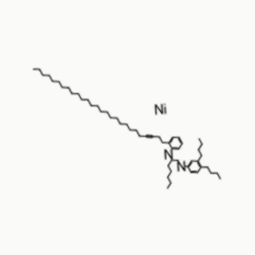 CCCCCCCCCCCCCCCCCCCCCCCC#CCCc1ccccc1N=C(C=Nc1ccc(CCCC)c(CCCC)c1)CCCCC.[Ni]